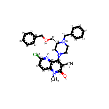 Cn1c(=O)c(C#N)c(N2CCN(Cc3ccccc3)[C@@H](COCc3ccccc3)C2)c2nc(Cl)ccc21